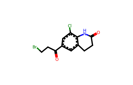 O=C1CCc2cc(C(=O)CCBr)cc(Cl)c2N1